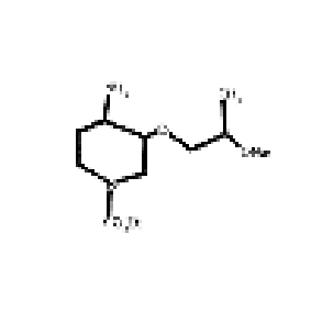 CCOC(=O)N1CCC(N)C(OCC(C)OC)C1